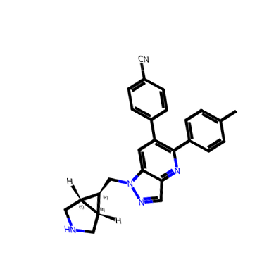 Cc1ccc(-c2nc3cnn(C[C@H]4[C@@H]5CNC[C@@H]54)c3cc2-c2ccc(C#N)cc2)cc1